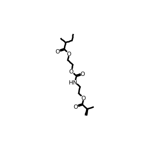 C=C(C)C(=O)OCCNC(=O)OCCOC(=O)C(C)CC